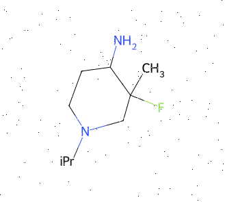 CC(C)N1CCC(N)C(C)(F)C1